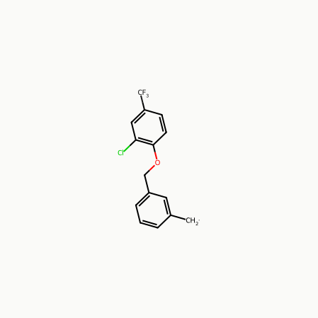 [CH2]c1cccc(COc2ccc(C(F)(F)F)cc2Cl)c1